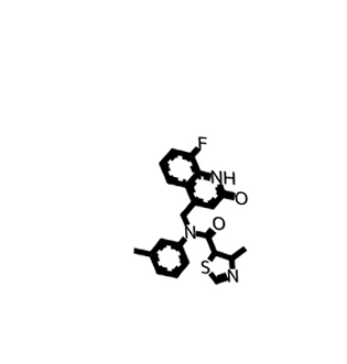 Cc1cccc(N(Cc2cc(=O)[nH]c3c(F)cccc23)C(=O)C2SC=NC2C)c1